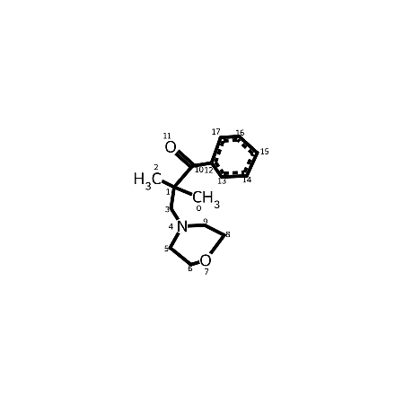 CC(C)(CN1CCOCC1)C(=O)c1ccccc1